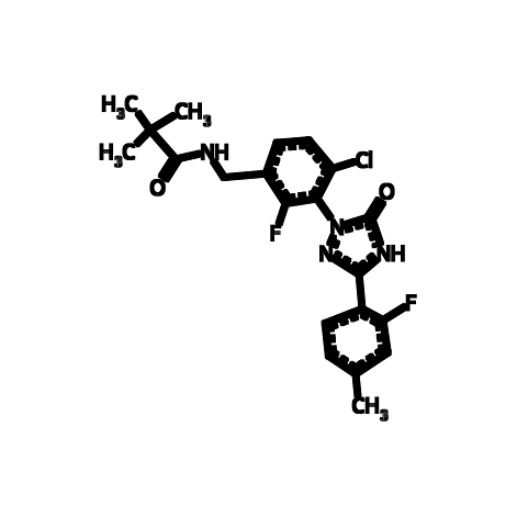 Cc1ccc(-c2nn(-c3c(Cl)ccc(CNC(=O)C(C)(C)C)c3F)c(=O)[nH]2)c(F)c1